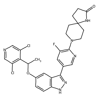 CC(Oc1ccc2[nH]nc(-c3cnc(N4CCC5(CCC(=O)N5)CC4)c(F)c3)c2c1)c1c(Cl)cncc1Cl